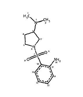 CN(C)C1CCN(S(=O)(=O)c2ccccc2N)C1